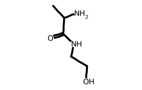 CC(N)C(=O)NCCO